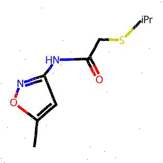 Cc1cc(NC(=O)CSC(C)C)no1